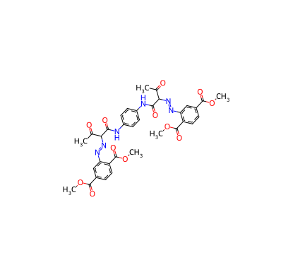 COC(=O)c1ccc(C(=O)OC)c(/N=N/C(C(C)=O)C(=O)Nc2ccc(NC(=O)C(/N=N/c3cc(C(=O)OC)ccc3C(=O)OC)C(C)=O)cc2)c1